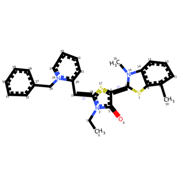 CCn1c(=O)/c(=C2\Sc3c(C)cccc3N2C)s/c1=C\c1cccc[n+]1Cc1ccccc1